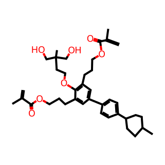 C=C(C)C(=O)OCCCc1cc(-c2ccc(C3CCC(C)CC3)cc2)cc(CCCOC(=O)C(=C)C)c1OCCC(C)(CO)CO